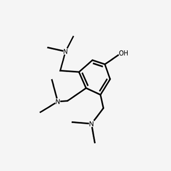 CN(C)Cc1cc(O)cc(CN(C)C)c1CN(C)C